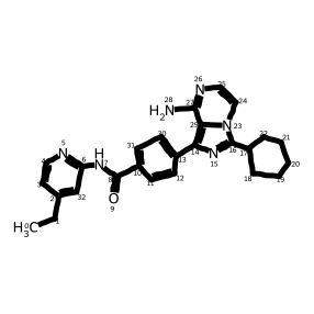 CCc1ccnc(NC(=O)c2ccc(-c3nc(C4CCCCC4)n4ccnc(N)c34)cc2)c1